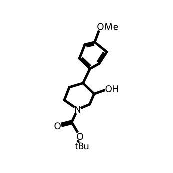 COc1ccc(C2CCN(C(=O)OC(C)(C)C)CC2O)cc1